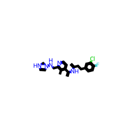 C=C(CCc1ccc(F)c(Cl)c1)NC(=C)c1ccnc(CNN2C=CNC2)c1C